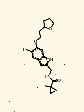 CC1(C(=O)NCc2cc3cc(Cl)c(OCCC4CCCO4)cc3[nH]2)CC1